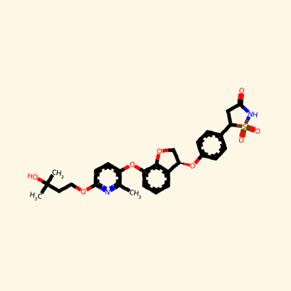 Cc1nc(OCCC(C)(C)O)ccc1Oc1cccc2c1OC[C@H]2Oc1ccc(C2CC(=O)NS2(=O)=O)cc1